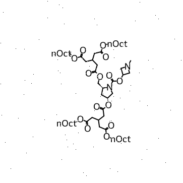 CCCCCCCCOC(=O)CC(CC(=O)OCCCCCCCC)CC(=O)OC[C@@H]1C[C@@H](OC(=O)CC(CC(=O)OCCCCCCCC)CC(=O)OCCCCCCCC)CN1C(=O)OC1CN(C)C1